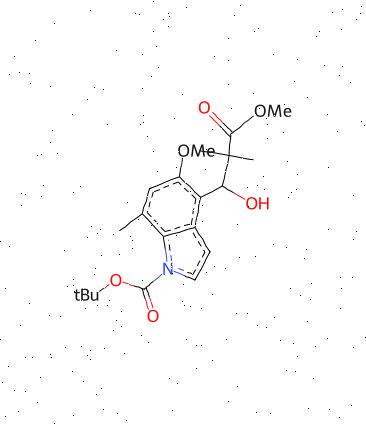 COC(=O)C(C)(C)C(O)c1c(OC)cc(C)c2c1ccn2C(=O)OC(C)(C)C